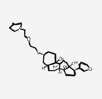 C[C@]12CC[C@H](SCCOCCN3CCCC3)C[C@H]1CC[C@@H]1[C@@H]2CC[C@]2(C)[C@@H](c3ccoc3)CC[C@]12O